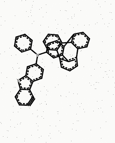 c1ccc2sc3cc(N(c4ccccc4)c4ccc5c(c4)-c4c6cccc4-c4cccc-5c4-c4ccccc4-6)ccc3c2c#1